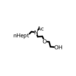 CCCCCCCCN(CCOCCO)C(C)=O